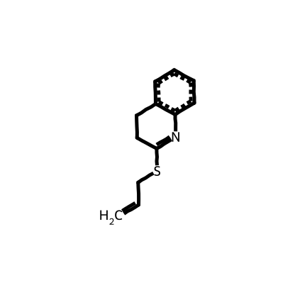 C=CCSC1=Nc2ccccc2CC1